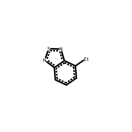 CCc1cccc2nsnc12